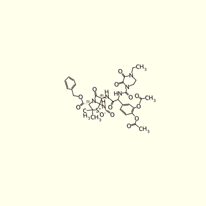 CCN1CCN(C(=O)NC(C(=O)N[C@@H]2C(=O)N3[C@@H](C(=O)OCc4ccccc4)C(C)(C)[S+]([O-])C23NC=O)c2ccc(OC(C)=O)c(OC(C)=O)c2)C(=O)C1=O